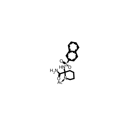 CC(=O)N1CCCCC1(NS(=O)(=O)c1ccc2ccccc2c1)C(N)=O